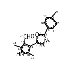 Cc1ccc(-c2nnc(-c3c(C)[nH]c(C)c3C=O)o2)cc1